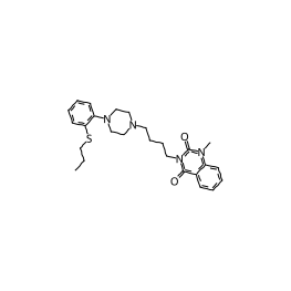 CCCSc1ccccc1N1CCN(CCCCn2c(=O)c3ccccc3n(C)c2=O)CC1